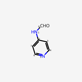 O=CNc1c[c]ncc1